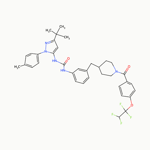 Cc1ccc(-n2nc(C(C)(C)C)cc2NC(=O)Nc2cccc(CC3CCN(C(=O)c4ccc(OC(F)(F)C(F)F)cc4)CC3)c2)cc1